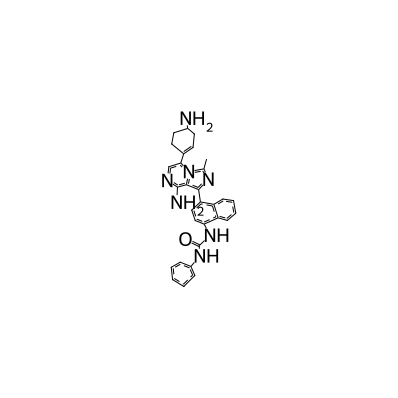 Cc1nc(-c2ccc(NC(=O)Nc3ccccc3)c3ccccc23)c2c(N)ncc(C3=CCC(N)CC3)n12